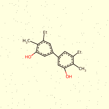 CCc1cc(-c2cc(O)c(C)c(CC)c2)cc(O)c1C